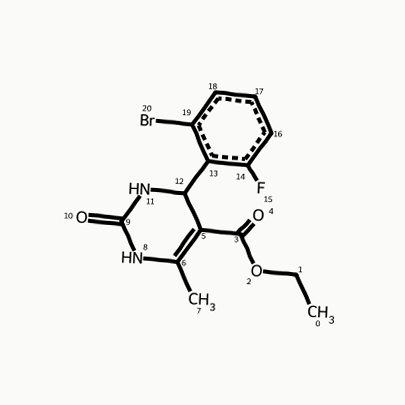 CCOC(=O)C1=C(C)NC(=O)NC1c1c(F)cccc1Br